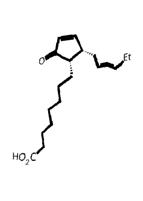 CC/C=C\C[C@H]1C=CC(=O)[C@H]1CCCCCCCC(=O)O